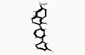 CCCCCCCc1ccc2c(F)c(-c3ccc(-c4cccc(F)c4)cc3)ccc2c1